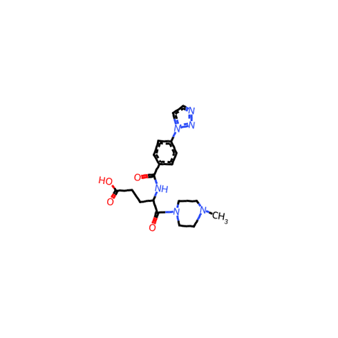 CN1CCN(C(=O)C(CCC(=O)O)NC(=O)c2ccc(-n3ccnn3)cc2)CC1